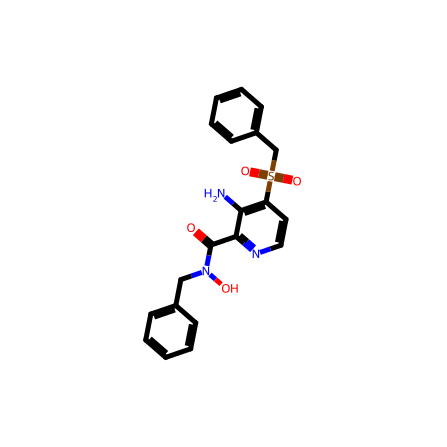 Nc1c(S(=O)(=O)Cc2ccccc2)ccnc1C(=O)N(O)Cc1ccccc1